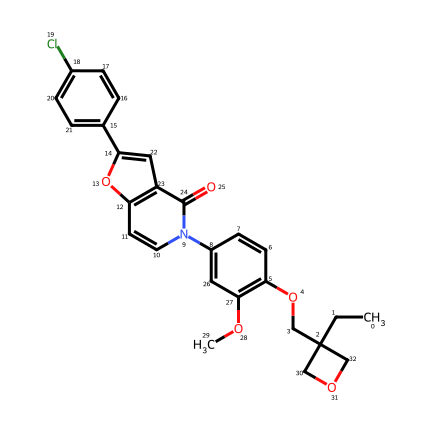 CCC1(COc2ccc(-n3ccc4oc(-c5ccc(Cl)cc5)cc4c3=O)cc2OC)COC1